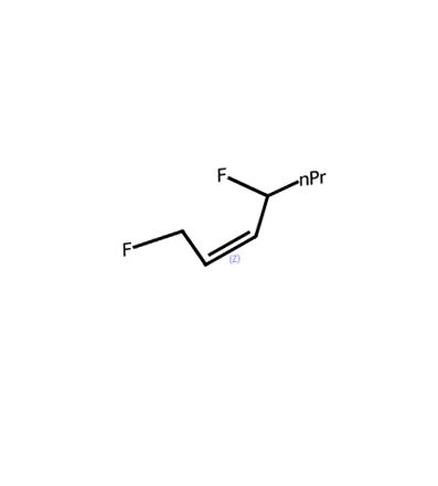 CCCC(F)/C=C\CF